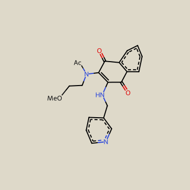 COCCN(C(C)=O)C1=C(NCc2cccnc2)C(=O)c2ccccc2C1=O